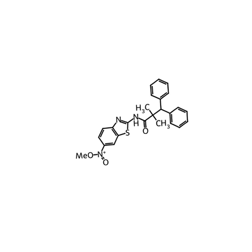 CO[N+](=O)c1ccc2nc(NC(=O)C(C)(C)C(c3ccccc3)c3ccccc3)sc2c1